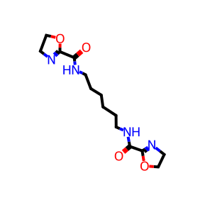 O=C(NCCCCCCNC(=O)C1=NCCO1)C1=NCCO1